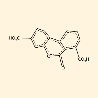 O=C(O)c1ccc2c(c1)oc(=O)c1c(C(=O)O)cccc12